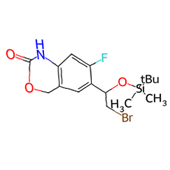 CC(C)(C)[Si](C)(C)OC(CBr)c1cc2c(cc1F)NC(=O)OC2